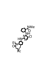 CCN1C(=O)CN(C(C)=O)Cc2ccc(Nc3ncc(Cl)c(Nc4ccccc4C(=O)NC)n3)cc21